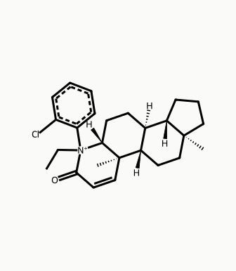 CC[N+]1(c2ccccc2Cl)C(=O)C=C[C@@]2(C)[C@H]1CC[C@H]1[C@@H]3CCC[C@@]3(C)CC[C@@H]12